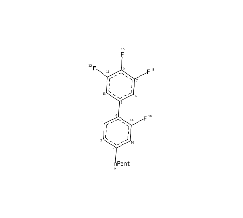 CCCCCc1ccc(-c2cc(F)c(F)c(F)c2)c(F)c1